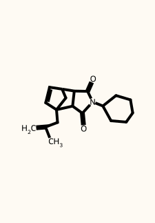 C=C(C)CC12C=CC(C1)C1C(=O)N(C3CCCCC3)C(=O)C12